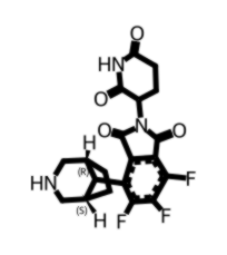 O=C1CCC(N2C(=O)c3c(F)c(F)c(F)c(C4[C@@H]5CC[C@H]4CNC5)c3C2=O)C(=O)N1